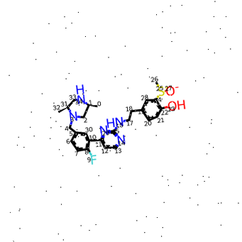 C[C@H]1CN(Cc2ccc(F)c(-c3ccnc(NCCc4ccc(O)c([S+](C)[O-])c4)n3)c2)[C@@H](C)CN1